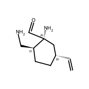 C=C[C@@H]1CC[C@@H](CN)[C@@](N)(C=O)C1